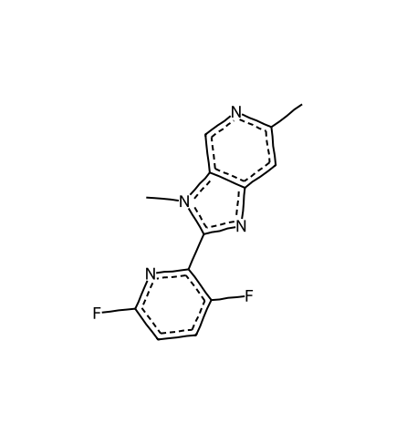 Cc1cc2nc(-c3nc(F)ccc3F)n(C)c2cn1